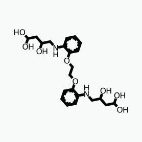 OC(O)CC(O)CNc1ccccc1OCCOc1ccccc1NCC(O)CC(O)O